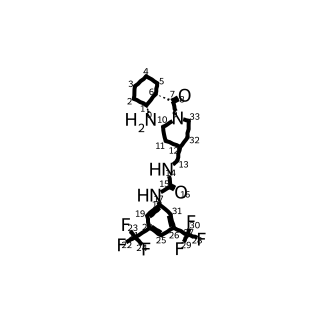 N[C@@H]1CCCC[C@@H]1C(=O)N1CCC(CNC(=O)Nc2cc(C(F)(F)F)cc(C(F)(F)F)c2)CC1